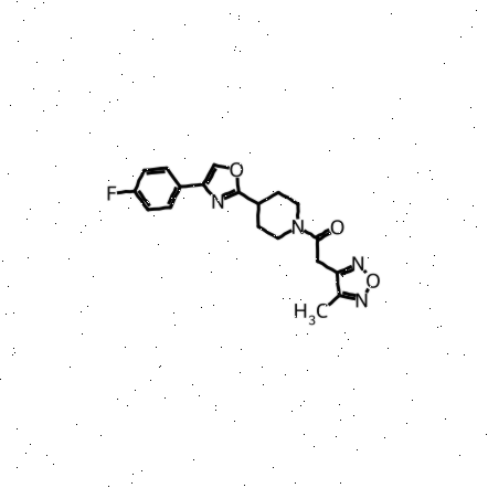 Cc1nonc1CC(=O)N1CCC(c2nc(-c3ccc(F)cc3)co2)CC1